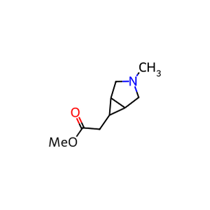 COC(=O)CC1C2CN(C)CC12